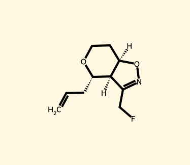 C=CC[C@@H]1OCC[C@H]2ON=C(CF)[C@@H]12